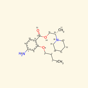 CCCCOc1cc(N)ccc1C(=O)OC[C@H](C)N1CCCCC1